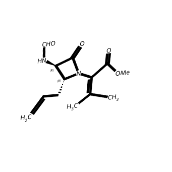 C=CC[C@@H]1[C@@H](NC=O)C(=O)N1C(C(=O)OC)=C(C)C